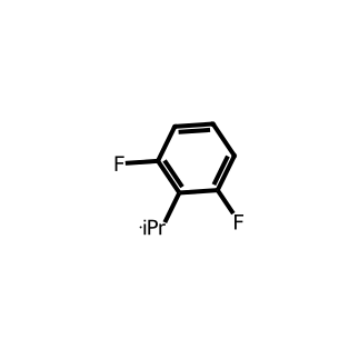 C[C](C)c1c(F)cccc1F